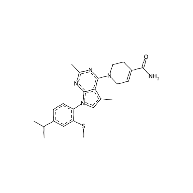 CSc1cc(C(C)C)ccc1-n1cc(C)c2c(N3CC=C(C(N)=O)CC3)nc(C)nc21